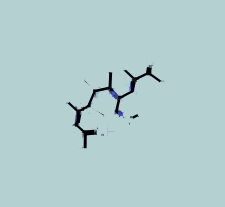 C\N=C/C(/C=C(\C)C(C)=O)=C(/C)[C@H](C)[C@@H](C)/C(C)=C\C(C)=N